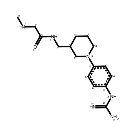 CNCC(=O)NCC1CCCN(c2ccc(NC(=N)N)cc2)C1